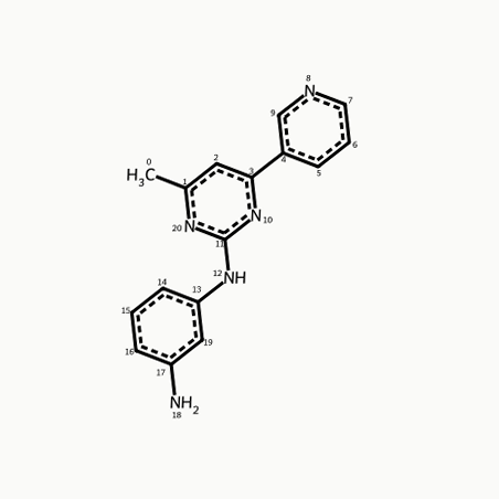 Cc1cc(-c2cccnc2)nc(Nc2cccc(N)c2)n1